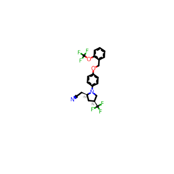 N#CC[C@@H]1C[C@H](C(F)(F)F)CN1c1ccc(OCc2ccccc2OC(F)(F)F)cc1